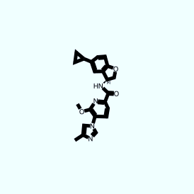 COc1nc(C(=O)N[C@H]2COc3ccc(C4CC4)cc32)ccc1-n1cnc(C)c1